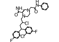 NC(=O)C1CN(CC(=O)Nc2ccccc2)CCN1CC(Cl)CC(c1ccc(F)cc1)c1ccc(F)cc1Cl